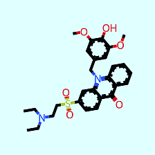 CCN(CC)CCS(=O)(=O)c1ccc2c(=O)c3ccccc3n(Cc3cc(OC)c(O)c(OC)c3)c2c1